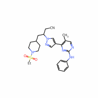 CCS(=O)(=O)N1CCC(CC(CC#N)n2cc(-c3nc(Nc4ccccc4)ncc3C)cn2)CC1